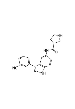 N#Cc1cccc(-c2n[nH]c3ccc(NC(=O)C4CCNC4)cc23)c1